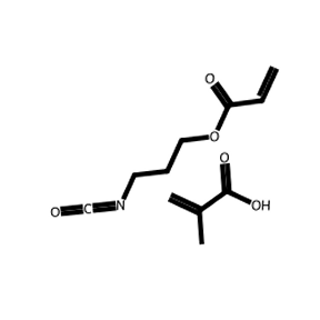 C=C(C)C(=O)O.C=CC(=O)OCCCN=C=O